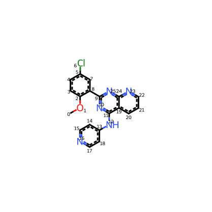 COc1ccc(Cl)cc1-c1nc(Nc2ccncc2)c2cccnc2n1